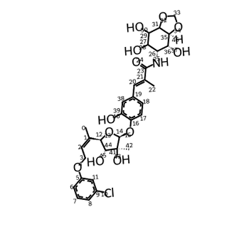 C/C(=C/COc1cccc(Cl)c1)[C@H]1O[C@@H](Oc2ccc(/C=C(\C)C(=O)N[C@@H]3C(O)C(O)C4OCO[C@H]4[C@@H]3O)cc2O)[C@@](C)(O)[C@@H]1O